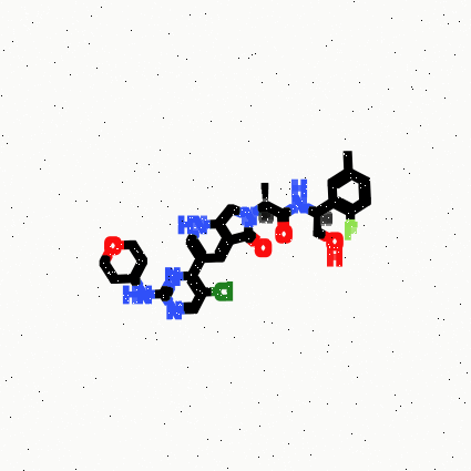 Cc1ccc(F)c([C@@H](CO)NC(=O)[C@@H](C)N2CC3NC=C(c4nc(NC5CCOCC5)ncc4Cl)C=C3C2=O)c1